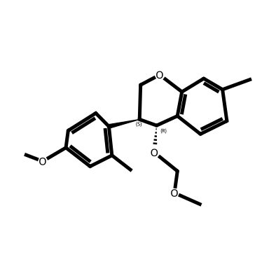 COCO[C@H]1c2ccc(C)cc2OC[C@@H]1c1ccc(OC)cc1C